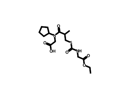 CCOC(=O)CNC(=O)SCC(C)C(=O)N(CC(=O)O)C1CCCC1